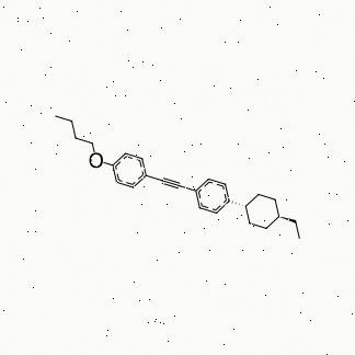 CCCCOc1ccc(C#Cc2ccc([C@H]3CC[C@H](CC)CC3)cc2)cc1